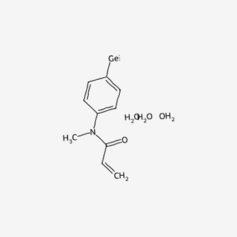 C=CC(=O)N(C)c1cc[c]([Ge])cc1.O.O.O